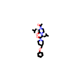 CC(=O)N1CCN([C@@H](CC(C)C)C(=O)N2CCC(COc3ccccc3)CC2)C(=O)[C@@H]1CC(C)C